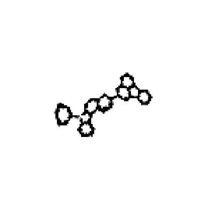 c1ccc(-n2c3ccccc3c3c4ccc(-c5cc6c7c(cccc7c5)-c5ccccc5-6)cc4ccc32)cc1